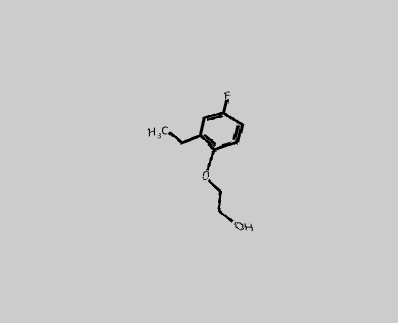 CCc1cc(F)ccc1OCCO